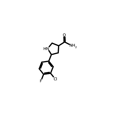 NC(=O)C1CNC(c2ccc(F)c(Cl)c2)C1